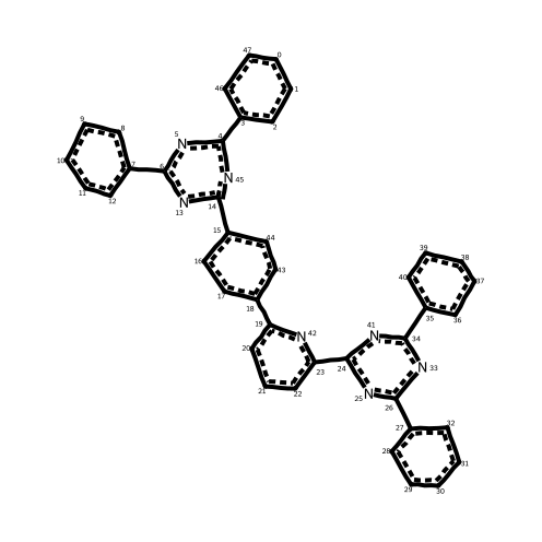 c1ccc(-c2nc(-c3ccccc3)nc(-c3ccc(-c4cccc(-c5nc(-c6ccccc6)nc(-c6ccccc6)n5)n4)cc3)n2)cc1